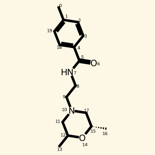 Cc1ccc(C(=O)NCCN2CC(C)O[C@@H](C)C2)cc1